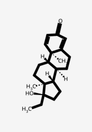 CC[C@@]1(O)CC[C@H]2[C@@H]3CCC4=CC(=O)C=C[C@]4(C)[C@H]3CC[C@@]21C